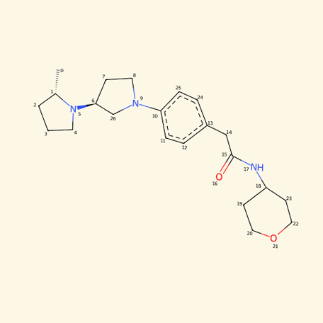 C[C@H]1CCCN1[C@H]1CCN(c2ccc(CC(=O)NC3CCOCC3)cc2)C1